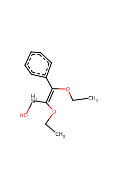 CCOC([SiH2]O)=C(OCC)c1ccccc1